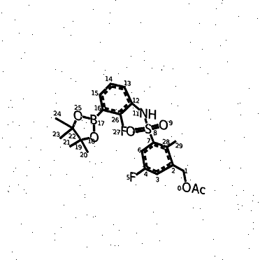 CC(=O)OCc1cc(F)cc(S(=O)(=O)Nc2cccc(B3OC(C)(C)C(C)(C)O3)c2F)c1C